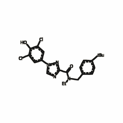 CCN(Cc1ccc(C(C)(C)C)cc1)C(=O)c1ncn(-c2cc(Cl)c(O)c(Cl)c2)n1